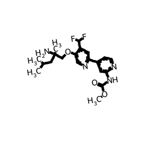 COC(=O)Nc1cc(-c2cc(C(F)F)c(OCC(C)(N)CC(C)C)cn2)ccn1